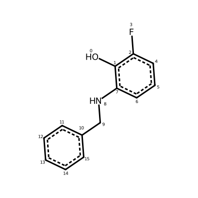 Oc1c(F)cccc1NCc1ccccc1